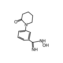 N=C(NO)c1cccc(N2CCCCC2=O)c1